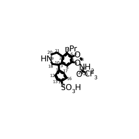 CCCc1c2c(cc3c1OCO3)C(c1ccc(S(=O)(=O)O)cc1)CNCC2.NC(=O)C(F)(F)F